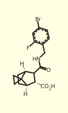 O=C(NCc1ccc(Br)cc1F)C1[C@H](C(=O)O)[C@H]2CC[C@@H]1C21CC1